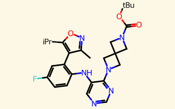 Cc1noc(C(C)C)c1-c1cc(F)ccc1Nc1cncnc1N1CC2(CN(C(=O)OC(C)(C)C)C2)C1